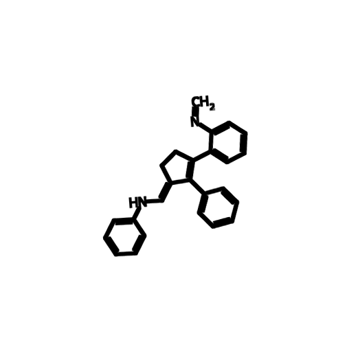 C=Nc1ccccc1C1=C(c2ccccc2)C(=CNc2ccccc2)CC1